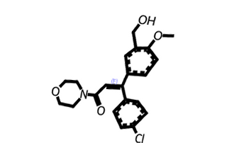 COc1ccc(/C(=C/C(=O)N2CCOCC2)c2ccc(Cl)cc2)cc1CO